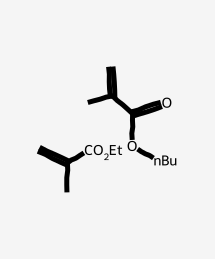 C=C(C)C(=O)OCC.C=C(C)C(=O)OCCCC